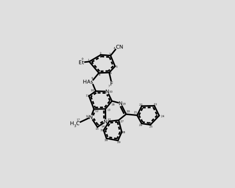 CCc1cc(C#N)cc(F)c1[AsH]c1cc2c(ncn2C)c(N=C(c2ccccc2)c2ccccc2)n1